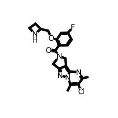 Cc1nc2c3c(nn2c(C)c1Cl)CN(C(=O)c1ccc(F)cc1OCC1CCN1)C3